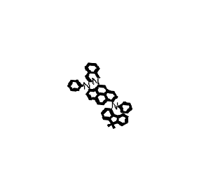 CC1(C)c2ccccc2-c2c(N(c3ccccc3)c3ccc4ccc5c(N(c6ccccc6)c6cc7ccccc7cn6)ccc6ccc3c4c65)cccc21